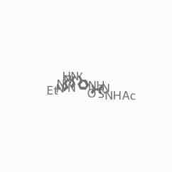 CCn1cc2ncc(N[C@@H](C)c3cccc(NC(=O)c4cnc(NC(C)=O)s4)c3)nc2n1